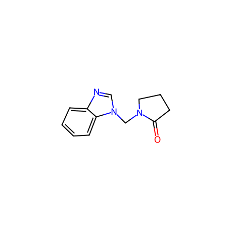 O=C1CCCN1Cn1cnc2ccccc21